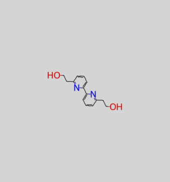 OCCc1cccc(-c2cccc(CCO)n2)n1